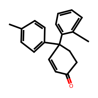 Cc1ccc(C2(c3ccccc3C)C=CC(=O)CC2)cc1